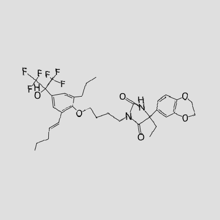 CCC/C=C/c1cc(C(O)(C(F)(F)F)C(F)(F)F)cc(CCC)c1OCCCCN1C(=O)NC(CC)(c2ccc3c(c2)OCCO3)C1=O